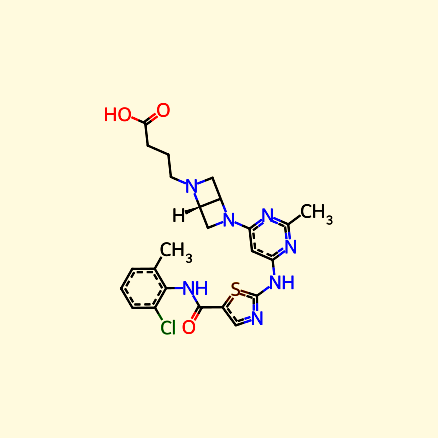 Cc1nc(Nc2ncc(C(=O)Nc3c(C)cccc3Cl)s2)cc(N2C[C@H]3C2CN3CCCC(=O)O)n1